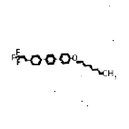 CCCCCCCCO[C@H]1CC[C@H](c2ccc([C@H]3CC[C@H](C=CC(F)(F)F)CC3)cc2)CC1